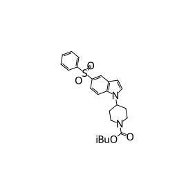 CC(C)COC(=O)N1CCC(n2ccc3cc(S(=O)(=O)c4ccccc4)ccc32)CC1